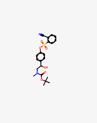 CN(CC(O)c1ccc(OS(=O)(=O)c2ccccc2C#N)cc1)C(=O)OC(C)(C)C